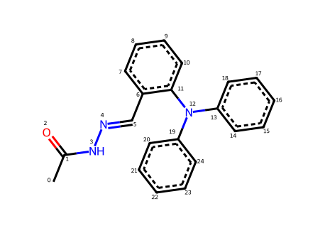 CC(=O)N/N=C/c1ccccc1N(c1ccccc1)c1ccccc1